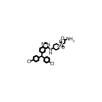 NC(=O)CS(=O)(=O)N1CCC(Nc2ncnc3ccc(C(c4ccc(Cl)cc4)c4ccc(Cl)cc4)cc23)CC1